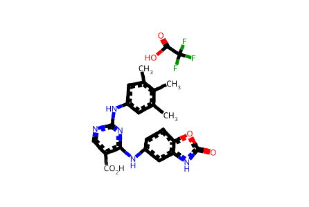 Cc1cc(Nc2ncc(C(=O)O)c(Nc3ccc4oc(=O)[nH]c4c3)n2)cc(C)c1C.O=C(O)C(F)(F)F